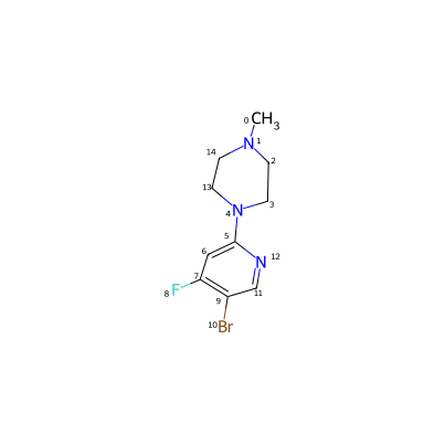 CN1CCN(c2cc(F)c(Br)cn2)CC1